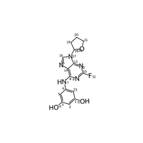 Oc1cc(O)cc(Nc2nc(F)nc3c2ncn3C2CCCO2)c1